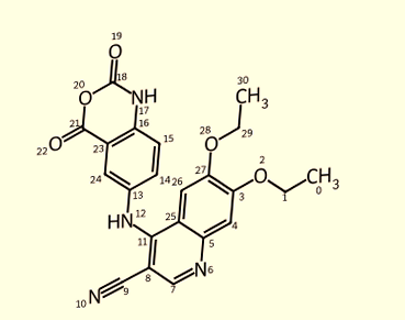 CCOc1cc2ncc(C#N)c(Nc3ccc4[nH]c(=O)oc(=O)c4c3)c2cc1OCC